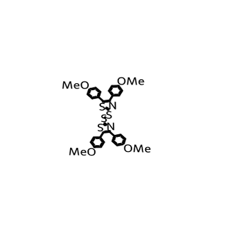 COc1ccc(-c2nc(SSc3nc(-c4ccc(OC)cc4)c(-c4ccc(OC)cc4)s3)sc2-c2ccc(OC)cc2)cc1